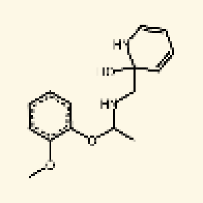 COc1ccccc1OC(C)NCC1(O)C=CC=CN1